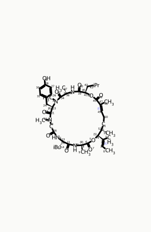 C/C=C(\C)[C@H]1OC(=O)[C@@H](C)NC(=O)[C@H](C(C)CC)NC(=O)CN(C)C(=O)[C@@H](Cc2ccc(O)cc2)N(C)C(=O)[C@H](C)NC(=O)[C@@H](CC(C)C)OC(=O)/C(C)=C/CC[C@@H]1C